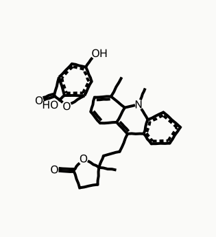 CC1=CC=CC2=C(CCC3(C)CCC(=O)O3)c3ccccc3N(C)C12.O=C1Oc2cc(O)cc1c2O